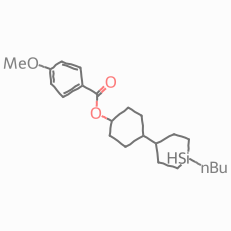 CCCC[SiH]1CCC(C2CCC(OC(=O)c3ccc(OC)cc3)CC2)CC1